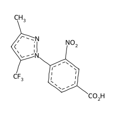 Cc1cc(C(F)(F)F)n(-c2ccc(C(=O)O)cc2[N+](=O)[O-])n1